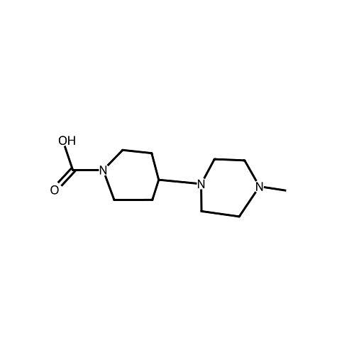 CN1CCN(C2CCN(C(=O)O)CC2)CC1